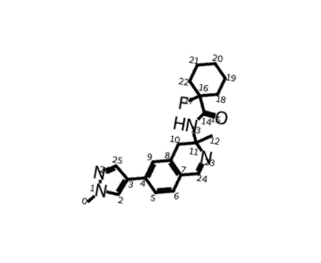 Cn1cc(-c2ccc3c(c2)CC(C)(NC(=O)C2(F)CCCCC2)N=C3)cn1